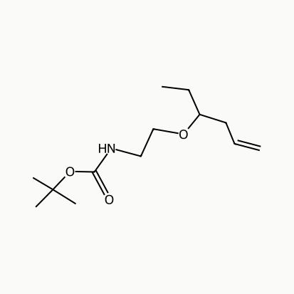 C=CCC(CC)OCCNC(=O)OC(C)(C)C